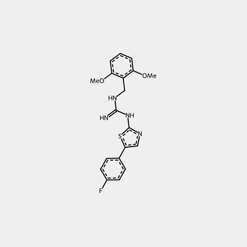 COc1cccc(OC)c1CNC(=N)Nc1ncc(-c2ccc(F)cc2)s1